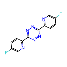 Fc1ccc(-c2nnc(-c3ccc(F)cn3)nn2)nc1